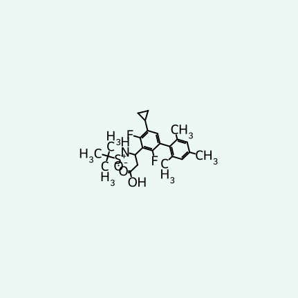 Cc1cc(C)c(-c2cc(C3CC3)c(F)c(C(CC(=O)O)N[S@+]([O-])C(C)(C)C)c2F)c(C)c1